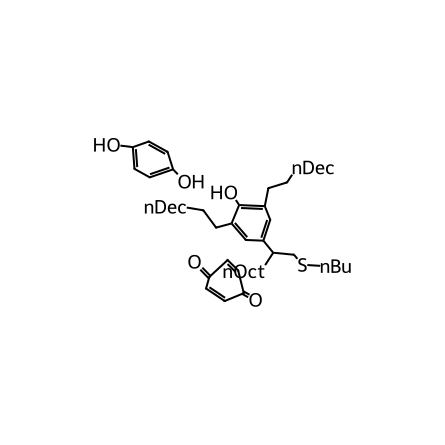 CCCCCCCCCCCCc1cc(C(CCCCCCCC)CSCCCC)cc(CCCCCCCCCCCC)c1O.O=C1C=CC(=O)C=C1.Oc1ccc(O)cc1